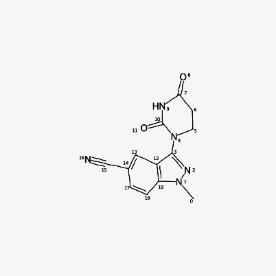 Cn1nc(N2CCC(=O)NC2=O)c2cc(C#N)ccc21